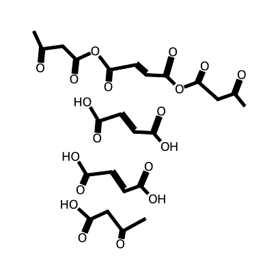 CC(=O)CC(=O)O.CC(=O)CC(=O)OC(=O)/C=C/C(=O)OC(=O)CC(C)=O.O=C(O)/C=C/C(=O)O.O=C(O)/C=C/C(=O)O